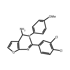 COc1ccc(N2C(c3ccc(Cl)c(Cl)c3)=Nc3occc3C2N)cc1